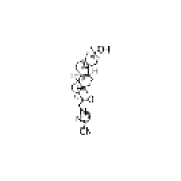 C[C@@]1(O)CC[C@@]23C[C@@]2(CC[C@H]2[C@@H]4CC[C@H](C(=O)Cn5ccc(C#N)n5)[C@@]4(C)CC[C@@H]23)C1